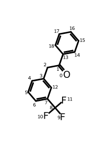 O=C(Cc1cccc(C(F)(F)F)c1)c1ccccc1